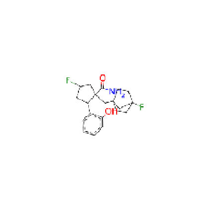 NC(=O)C1(CC23CCC(F)(CC2)C3)CC(F)CC1c1ccccc1O